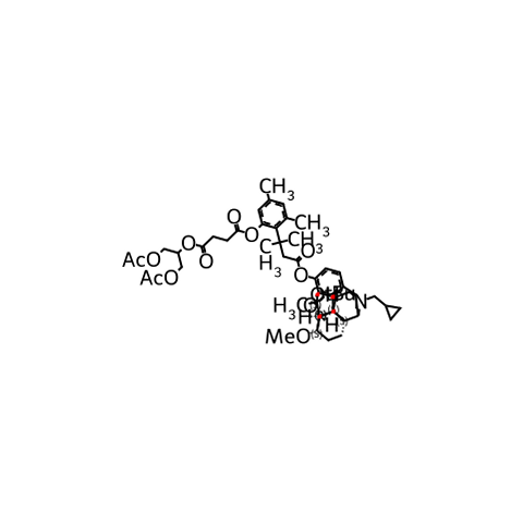 CO[C@@]12CC[C@@]3(C[C@@H]1[C@](C)(O)C(C)(C)C)C1Cc4ccc(OC(=O)CC(C)(C)c5c(C)cc(C)cc5OC(=O)CCC(=O)OC(COC(C)=O)COC(C)=O)c5c4[C@@]3(CCN1CC1CC1)[C@H]2O5